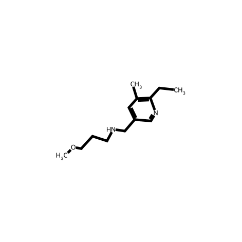 CCc1ncc(CNCCCOC)cc1C